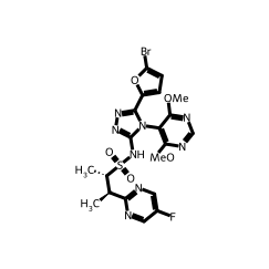 COc1ncnc(OC)c1-n1c(NS(=O)(=O)[C@@H](C)[C@H](C)c2ncc(F)cn2)nnc1-c1ccc(Br)o1